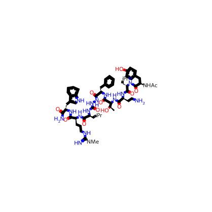 CNC(=N)NCCC[C@H](NC(=O)[C@H](CC(C)C)NC(=O)NNC(=O)[C@H](Cc1ccccc1)NC(=O)C(NC(=O)[C@H](CCN)NC(=O)[C@H](CC(C)C)NC(=O)[C@@H](Cc1ccc(O)cc1)NC(C)=O)[C@@H](C)O)C(=O)N[C@@H](Cc1c[nH]c2ccccc12)C(N)=O